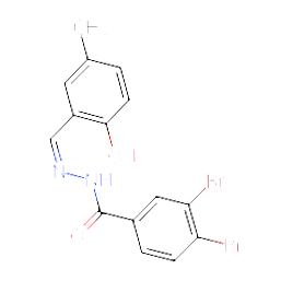 Cc1ccc(O)c(/C=N\NC(=O)c2ccc(Br)c(Br)c2)c1